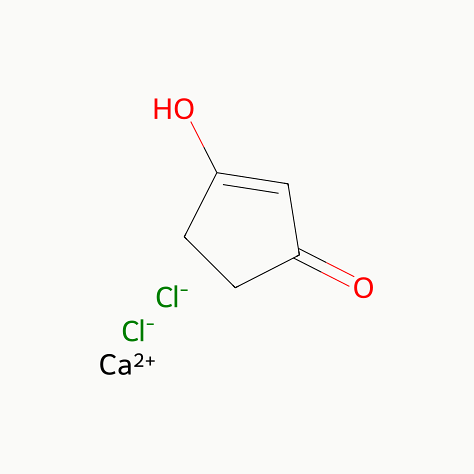 O=C1C=C(O)CC1.[Ca+2].[Cl-].[Cl-]